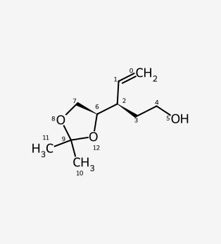 C=C[C@@H](CCO)[C@@H]1COC(C)(C)O1